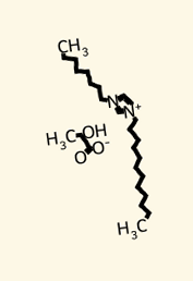 CC(O)C(=O)[O-].CCCCCCCCCCCC[n+]1ccn(CCCCCCCC)c1